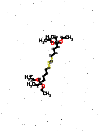 CCO[Si](CC)(CCCCSSSCCCC[Si](CC)(OCC)OCC)OCC